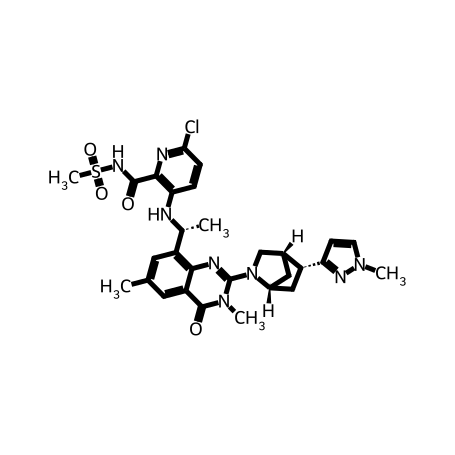 Cc1cc([C@@H](C)Nc2ccc(Cl)nc2C(=O)NS(C)(=O)=O)c2nc(N3C[C@H]4C[C@@H]3C[C@H]4c3ccn(C)n3)n(C)c(=O)c2c1